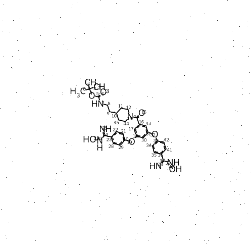 CC(C)(C)OC(=O)NCCC1CCN(C(=O)c2cc(Oc3ccc(C(=N)NO)cc3)cc(Oc3ccc(C(=N)NO)cc3)c2)CC1